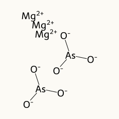 [Mg+2].[Mg+2].[Mg+2].[O-][As]([O-])[O-].[O-][As]([O-])[O-]